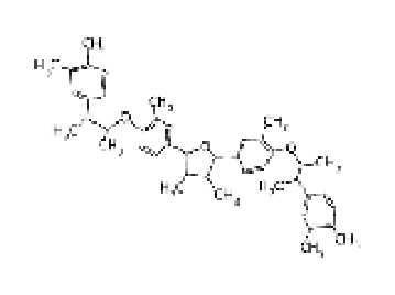 Cc1ccc(C(C)C(C)Oc2ccc(C3OC(c4ccc(OC(C)C(C)c5ccc(C)c(C)c5)c(C)c4)C(C)C3C)cc2C)cc1C